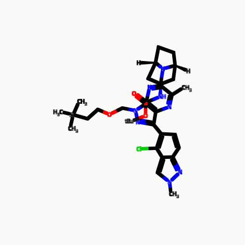 Cc1nc2c(-c3ccc4nn(C)cc4c3Cl)nn(COCC[Si](C)(C)C)c2nc1N1[C@@H]2CC[C@H]1C[C@H](NC(=O)OC(C)(C)C)C2